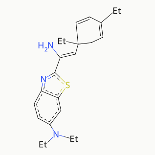 CCC1=CCC(C=C(N)c2nc3ccc(N(CC)CC)cc3s2)(CC)C=C1